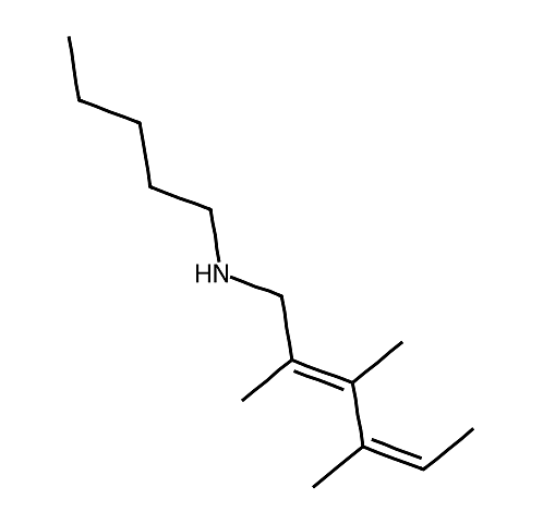 C/C=C(C)\C(C)=C(/C)CNCCCCC